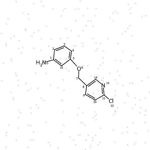 Nc1cccc(OCc2ccc(Cl)nc2)c1